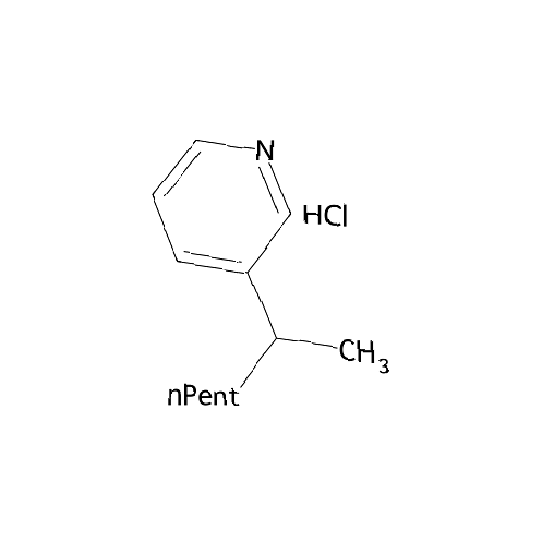 CCCCCC(C)c1cccnc1.Cl